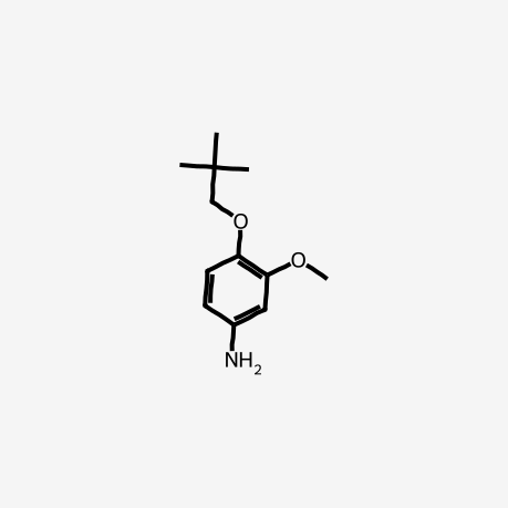 COc1cc(N)ccc1OCC(C)(C)C